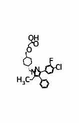 CCc1c(-c2ccccc2)c(-c2ccc(Cl)c(F)c2)nn1C[C@H]1CC[C@H](COCC(=O)O)CC1